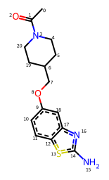 CC(=O)N1CCC(COc2ccc3sc(N)nc3c2)CC1